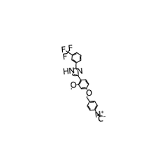 [C-]#[N+]c1ccc(COc2ccc(-c3c[nH]c(-c4cccc(C(F)(F)F)c4)n3)c(OC)c2)cc1